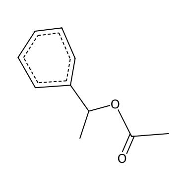 CC(=O)OC(C)c1ccccc1